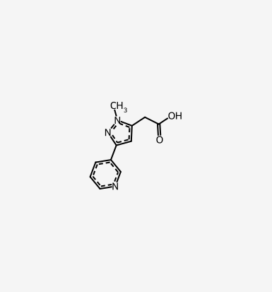 Cn1nc(-c2cccnc2)cc1CC(=O)O